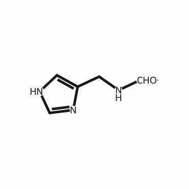 O=[C]NCc1c[nH]cn1